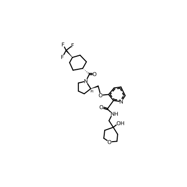 O=C(NCC1(O)CCOCC1)c1ncccc1OC[C@H]1CCCN1C(=O)[C@H]1CC[C@H](C(F)(F)F)CC1